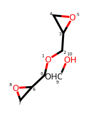 C(OCC1CO1)C1CO1.O=CO